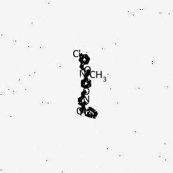 Cc1oc(Cc2cccc(Cl)c2)nc1-c1ccc(OCc2ccc(C(=O)N3CC4CCC(C3)N4)cn2)cc1